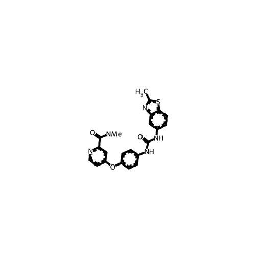 CNC(=O)c1cc(Oc2ccc(NC(=O)Nc3ccc4sc(C)nc4c3)cc2)ccn1